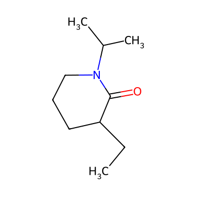 CCC1CCCN(C(C)C)C1=O